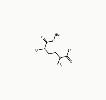 CCC(=O)N(C)CCN(C)C(=O)OC(C)(C)C